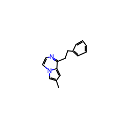 Cc1cc2c(CCc3ccccc3)nccn2c1